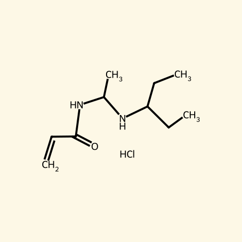 C=CC(=O)NC(C)NC(CC)CC.Cl